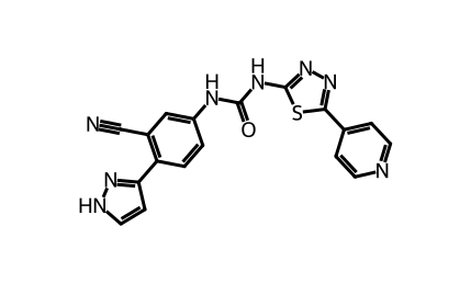 N#Cc1cc(NC(=O)Nc2nnc(-c3ccncc3)s2)ccc1-c1cc[nH]n1